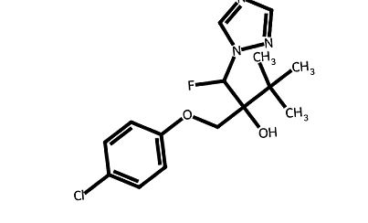 CC(C)(C)C(O)(COc1ccc(Cl)cc1)C(F)n1cncn1